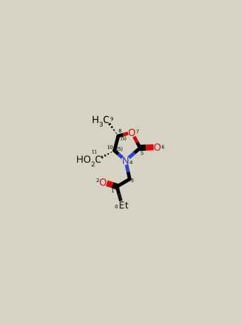 CCC(=O)CN1C(=O)O[C@@H](C)[C@H]1C(=O)O